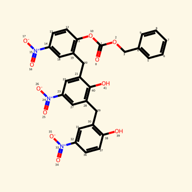 O=C(OCc1ccccc1)Oc1ccc([N+](=O)[O-])cc1Cc1cc([N+](=O)[O-])cc(Cc2cc([N+](=O)[O-])ccc2O)c1O